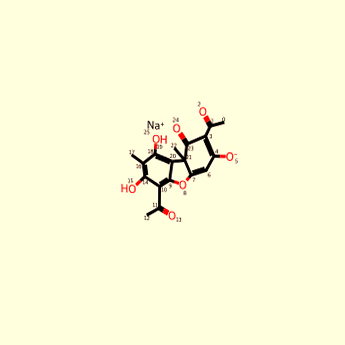 CC(=O)C1=C([O-])C=C2Oc3c(C(C)=O)c(O)c(C)c(O)c3C2(C)C1=O.[Na+]